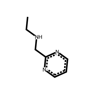 CCNCc1ncccn1